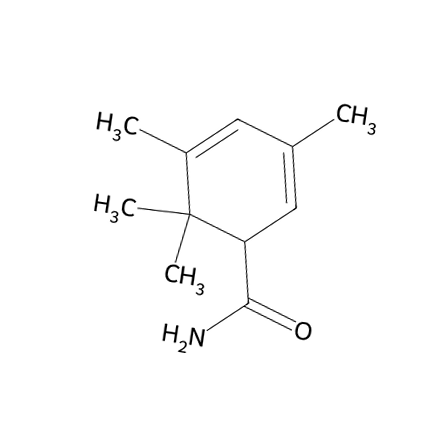 CC1=CC(C(N)=O)C(C)(C)C(C)=C1